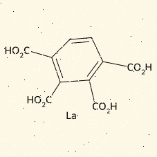 O=C(O)c1ccc(C(=O)O)c(C(=O)O)c1C(=O)O.[La]